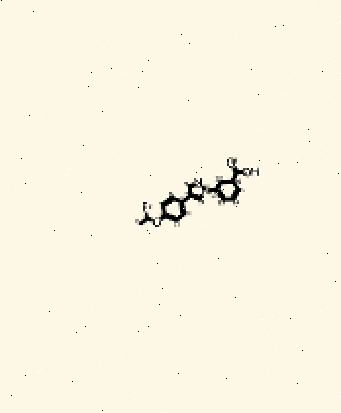 CC(F)Oc1ccc(-c2cnn(-c3cccc(C(=O)O)c3)c2)cc1